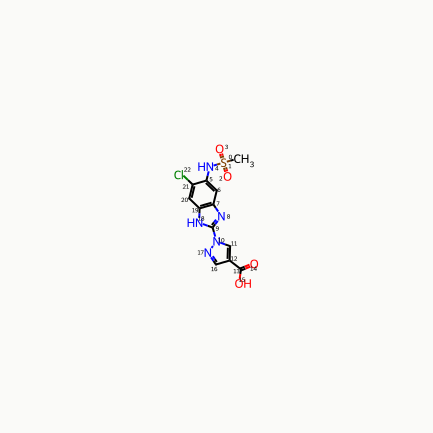 CS(=O)(=O)Nc1cc2nc(-n3cc(C(=O)O)cn3)[nH]c2cc1Cl